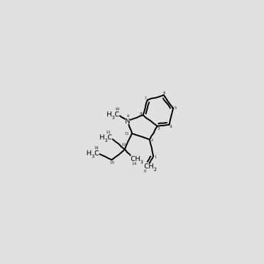 C=CC1c2ccccc2N(C)C1C(C)(C)CC